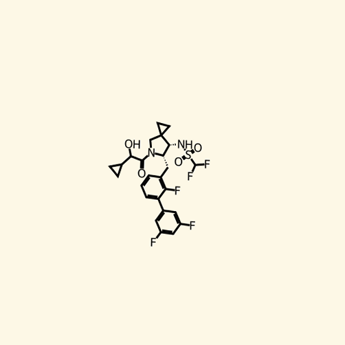 O=C(C(O)C1CC1)N1CC2(CC2)[C@H](NS(=O)(=O)C(F)F)[C@@H]1Cc1cccc(-c2cc(F)cc(F)c2)c1F